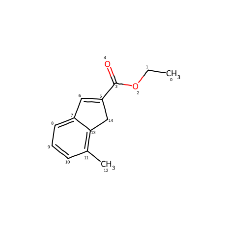 CCOC(=O)C1=Cc2cccc(C)c2C1